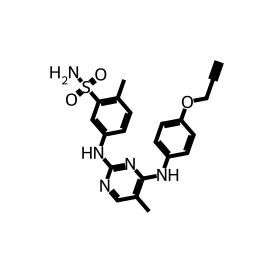 C#CCOc1ccc(Nc2nc(Nc3ccc(C)c(S(N)(=O)=O)c3)ncc2C)cc1